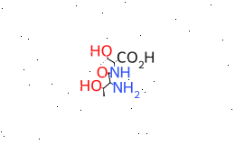 C[C@H](O)[C@@H](NC(=O)[C@@H](N)[C@@H](C)O)C(=O)O